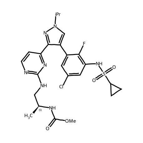 COC(=O)N[C@@H](C)CNc1nccc(-c2nn(C(C)C)cc2-c2cc(Cl)cc(NS(=O)(=O)C3CC3)c2F)n1